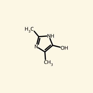 Cc1nc(C)c(O)[nH]1